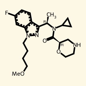 COCCCCn1nc([C@@H](C)N(C(=O)[C@H]2CNCCO2)C2CC2)c2ccc(F)cc21